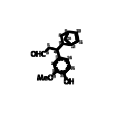 COc1cc(C(CC=O)C2CC3C=CC2C3)ccc1O